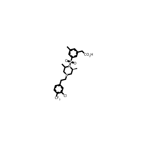 Cc1cc(CC(=O)O)cc(S(=O)(=O)N2C(C)CN(CCc3ccc(C(F)(F)F)c(Cl)c3)C[C@@H]2C)c1